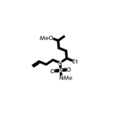 C=CCCN(C(CC)CCC(C)OC)S(=O)(=O)NC